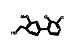 COc1nc(-c2ccnc(Cl)c2Cl)ccc1CO